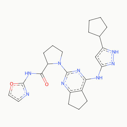 O=C(Nc1ncco1)C1CCCN1c1nc2c(c(Nc3cc(C4CCCC4)[nH]n3)n1)CCC2